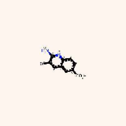 CCc1cc2cc(C(=O)O)ccc2nc1N